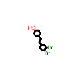 Oc1ccc(CCc2ccc(Br)c(Br)c2)cc1